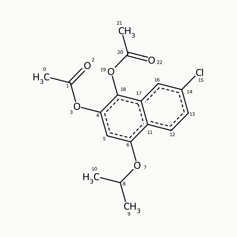 CC(=O)Oc1cc(OC(C)C)c2ccc(Cl)cc2c1OC(C)=O